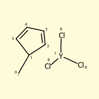 [CH2]C1C=CC=C1.[Cl][Y]([Cl])[Cl]